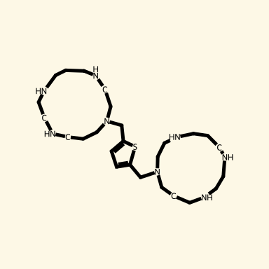 c1cc(CN2CCCNCCNCCCNCC2)sc1CN1CCCNCCNCCCNCC1